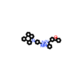 N=C(/N=c1/nc(-c2ccc3oc4ccccc4c3c2)c2ccccc2[nH]1)c1ccc(-n2c3cccc4c3c3c5c(cccc5ccc32)-c2ccccc2-4)cc1